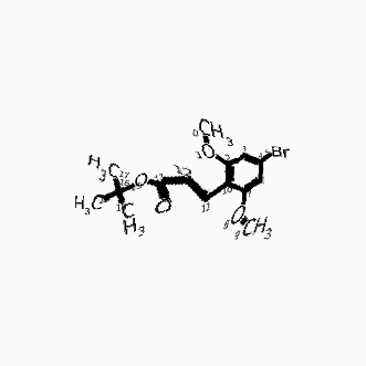 COc1cc(Br)cc(OC)c1/C=C/C(=O)OC(C)(C)C